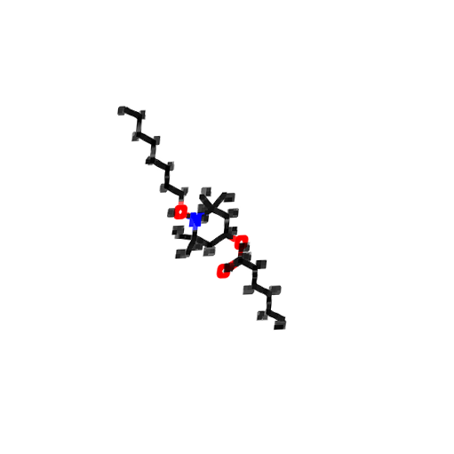 CCCCCCCCON1C(C)(C)CC(OC(=O)CCCCC)CC1(C)C